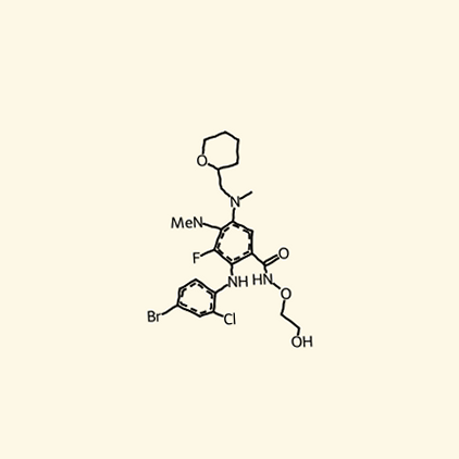 CNc1c(N(C)CC2CCCCO2)cc(C(=O)NOCCO)c(Nc2ccc(Br)cc2Cl)c1F